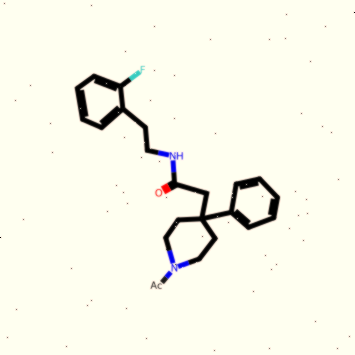 CC(=O)N1CCC(CC(=O)NCCc2ccccc2F)(c2ccccc2)CC1